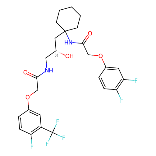 O=C(COc1ccc(F)c(C(F)(F)F)c1)NC[C@@H](O)CC1(NC(=O)COc2ccc(F)c(F)c2)CCCCC1